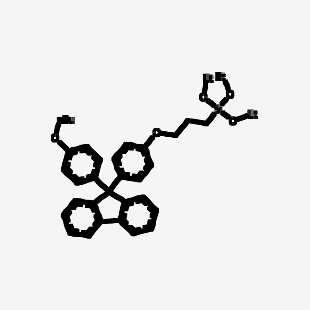 CCCCOc1ccc(C2(c3ccc(OCCC[Si](OCC)(OCC)OCC)cc3)c3ccccc3-c3ccccc32)cc1